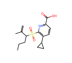 C=C(C)C(CCC)S(=O)(=O)c1nc(C(=O)O)ccc1C1CC1